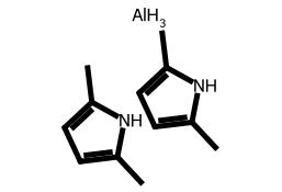 Cc1ccc(C)[nH]1.Cc1ccc(C)[nH]1.[AlH3]